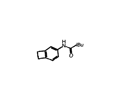 CCC(C)C(=O)Nc1ccc2c(c1)CC2